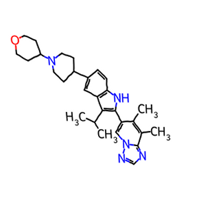 Cc1c(-c2[nH]c3ccc(C4CCN(C5CCOCC5)CC4)cc3c2C(C)C)cn2ncnc2c1C